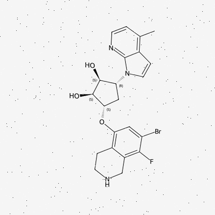 Cc1ccnc2c1ccn2[C@@H]1C[C@H](Oc2cc(Br)c(F)c3c2CCNC3)[C@@H](O)[C@H]1O